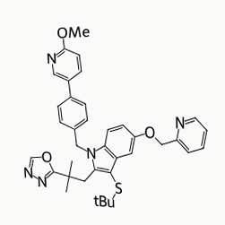 COc1ccc(-c2ccc(Cn3c(CC(C)(C)c4nnco4)c(SC(C)(C)C)c4cc(OCc5ccccn5)ccc43)cc2)cn1